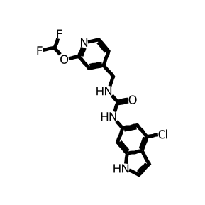 O=C(NCc1ccnc(OC(F)F)c1)Nc1cc(Cl)c2cc[nH]c2c1